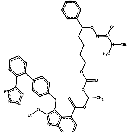 CCOc1nc2cccc(C(=O)OC(C)OC(=O)OCCCCC(O/N=[N+](\[O-])N(C)C(C)(C)C)c3ccccc3)c2n1Cc1ccc(-c2ccccc2-c2nnn[nH]2)cc1